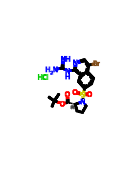 CC(C)(C)OC(=O)[C@H]1CCCN1S(=O)(=O)c1ccc2c(Br)cnc(NC(=N)N)c2c1.Cl